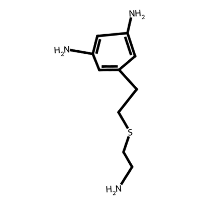 NCCSCCc1cc(N)cc(N)c1